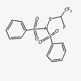 O=S(=O)(c1ccccc1)N(SC(F)C(F)(F)F)S(=O)(=O)c1ccccc1